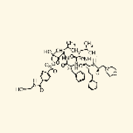 C#CCNC(=O)c1ccc(S(=O)(=O)OCC(C)(O)C(=O)[C@H](CC(C)C)NC(=O)[C@H](Cc2ccccc2)NC(=O)[C@H](CC(C)C)NC(=O)[C@H](CCc2ccccc2)NC(=O)CN2CCOCC2)cc1